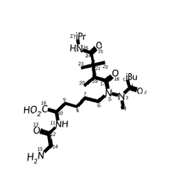 CCC(C)C(=O)N(C)N(CCCCC(NC(=O)CN)C(=O)O)C(=O)C(C)C(C)(C)C(=O)NC(C)C